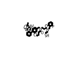 CCCC(=O)N(CCC(=O)N(CCS)Cc1ccccc1F)Cc1ccc(-c2ccccc2S(=O)(=O)NC(C)=O)c(Cl)c1